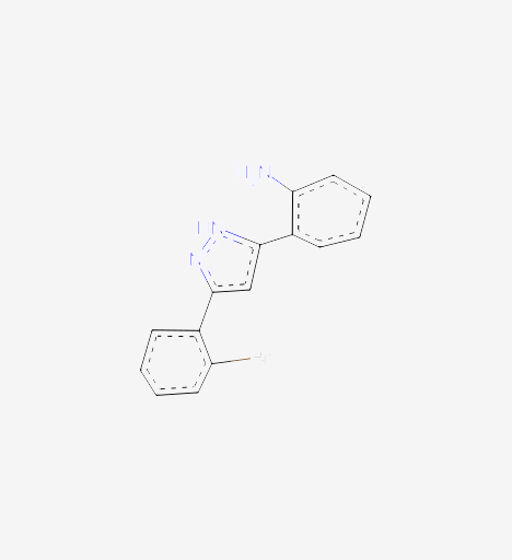 Nc1ccccc1-c1cc(-c2ccccc2Br)n[nH]1